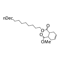 CCCCCCCCCCCCCCCCCCOC(=O)C1CC=CCC1C(=O)OC